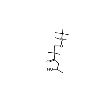 CC(O)CC(=O)C(C)(C)CO[Si](C)(C)C(C)(C)C